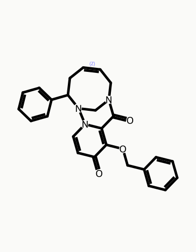 O=C1c2c(OCc3ccccc3)c(=O)ccn2N2CN1C/C=C\CC2c1ccccc1